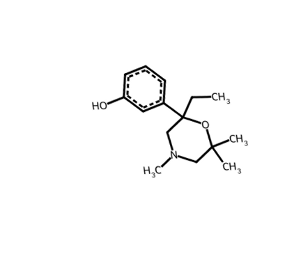 CCC1(c2cccc(O)c2)CN(C)CC(C)(C)O1